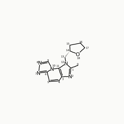 Cc1nc2ccc3nncn3c2n1C[C@@H]1CCCO1